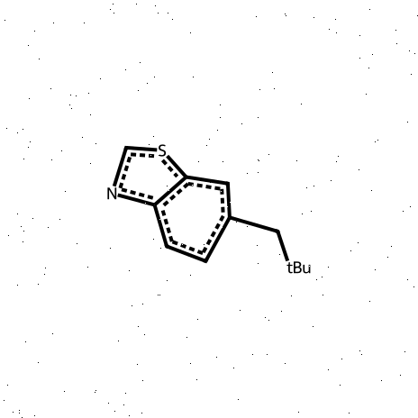 CC(C)(C)Cc1ccc2ncsc2c1